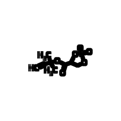 C#CC(C)(C)OC(=O)C1COS(=O)(=O)O1